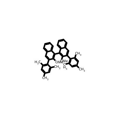 COc1c(-c2c(C)cc(C)cc2C)cc2ccccc2c1-c1c(OC)c(-c2c(C)cc(C)cc2C)cc2ccccc12